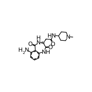 CN1CCC(NC(=O)C[C@@H]2NC(=O)c3c(N)cccc3NC2=O)CC1